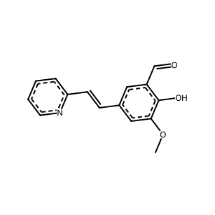 COc1cc(/C=C/c2ccccn2)cc(C=O)c1O